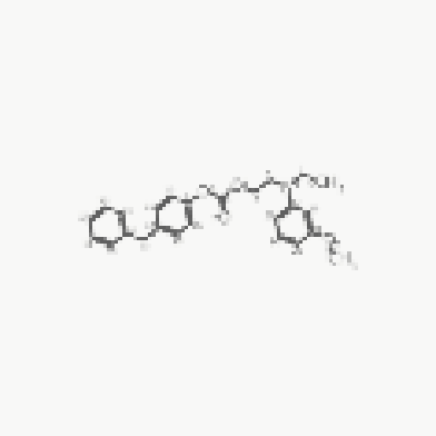 CCN(CCOC(=O)Oc1ccc(Cc2ccccc2)cc1)c1cccc(OC)c1